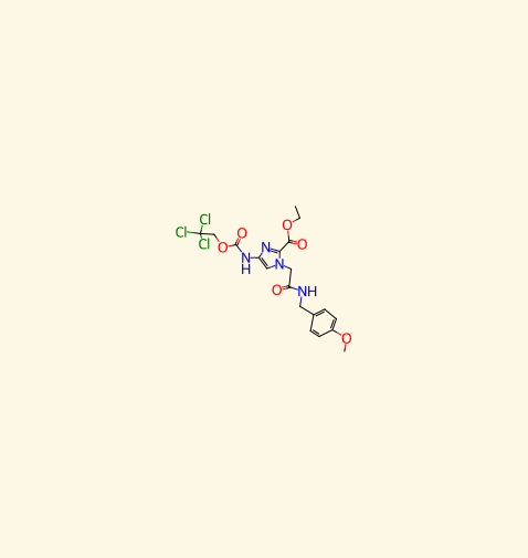 CCOC(=O)c1nc(NC(=O)OCC(Cl)(Cl)Cl)cn1CC(=O)NCc1ccc(OC)cc1